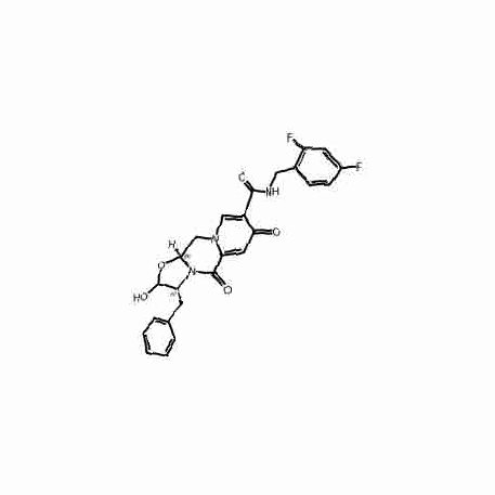 O=C(NCc1ccc(F)cc1F)c1cn2c(cc1=O)C(=O)N1[C@@H](C2)OC(O)[C@@H]1Cc1ccccc1